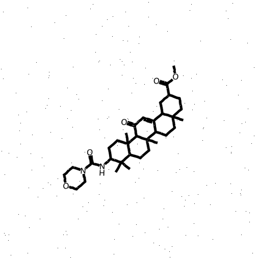 COC(=O)C1CCC2(C)CCC3C(=CC(=O)C4C3(C)CCC3C(C)(C)C(NC(=O)N5CCOCC5)CCC34C)C2C1